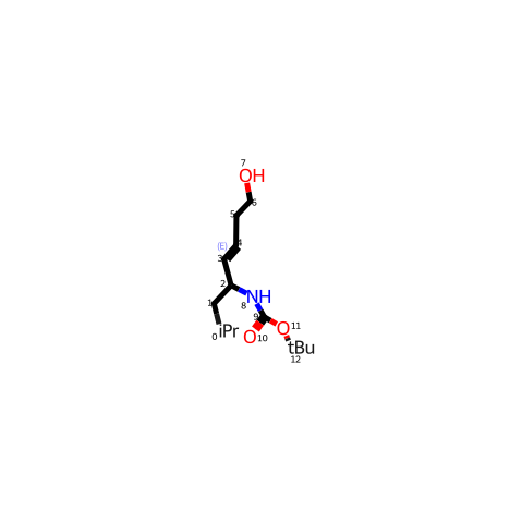 CC(C)CC(/C=C/CCO)NC(=O)OC(C)(C)C